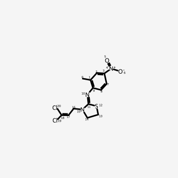 Cc1cc([N+](=O)[O-])ccc1N=C1SCCN1CC=C(Cl)Cl